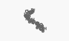 O=C1CCC(N2C(=O)c3ccc(N4CCC(C(=O)Nc5cnn(C6(C(=O)Nc7ccc(C(F)(F)F)cc7Cl)CCC6)c5)CC4)cc3C2=O)C(=O)N1